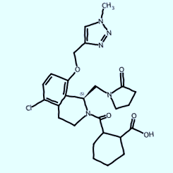 Cn1cc(COc2ccc(Cl)c3c2[C@@H](CN2CCCC2=O)N(C(=O)C2CCCCC2C(=O)O)CC3)nn1